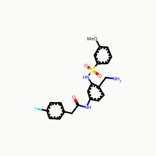 COc1cccc(S(=O)(=O)Nc2cc(NC(=O)Cc3ccc(F)cc3)ccc2CN)c1